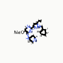 C=Cc1cc(-c2ncc(OC)c(Nc3ccncc3)n2)nn1Cc1ccccc1